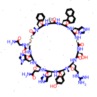 CC[C@@H]1NC(=O)[C@H](Cc2ccccc2)N(C)C(=O)CSC[C@@H](C(=O)NCC(N)=O)NC(=O)[C@H](Cc2cncn2C)NC(=O)[C@H](CCC(N)=O)NC(=O)[C@H](Cc2c[nH]cn2)NC(=O)[C@H](Cc2ccc(O)cc2)N(C)C(=O)[C@H](CCCNC(=N)N)NC(=O)[C@H](CO)NC(=O)CNC(=O)[C@H](Cc2c[nH]cn2)NC(=O)[C@H](Cc2cccc3ccccc23)NC1=O